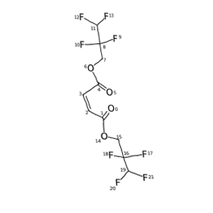 O=C(/C=C\C(=O)OCC(F)(F)C(F)F)OCC(F)(F)C(F)F